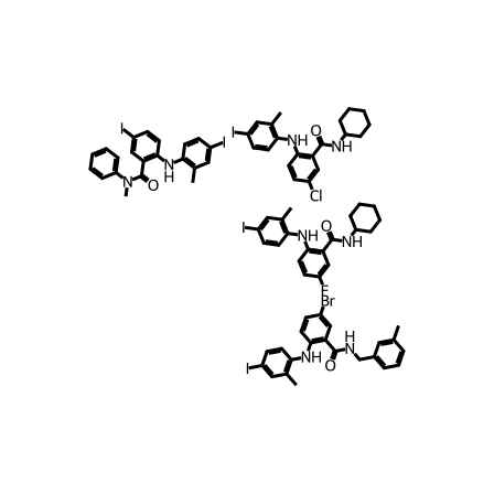 Cc1cc(I)ccc1Nc1ccc(Cl)cc1C(=O)NC1CCCCC1.Cc1cc(I)ccc1Nc1ccc(F)cc1C(=O)NC1CCCCC1.Cc1cc(I)ccc1Nc1ccc(I)cc1C(=O)N(C)c1ccccc1.Cc1cccc(CNC(=O)c2cc(Br)ccc2Nc2ccc(I)cc2C)c1